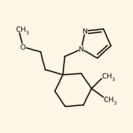 COCCC1(Cn2cccn2)CCCC(C)(C)C1